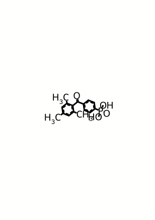 Cc1cc(C)c(C(=O)c2ccc(P(=O)(O)O)cc2)c(C)c1